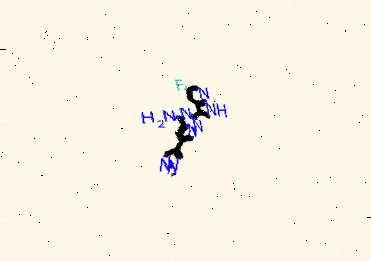 Cn1cc(-c2cc3c(N)nc(-c4c[nH]c5ncc(F)cc45)nn3c2)cn1